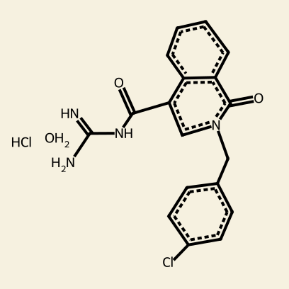 Cl.N=C(N)NC(=O)c1cn(Cc2ccc(Cl)cc2)c(=O)c2ccccc12.O